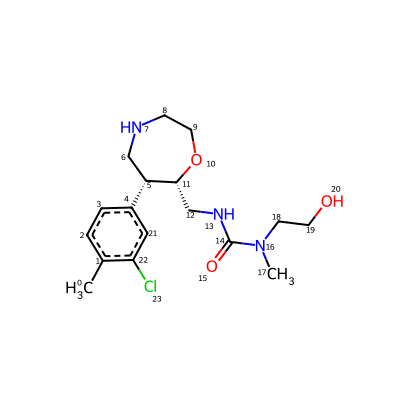 Cc1ccc([C@@H]2CNCCO[C@@H]2CNC(=O)N(C)CCO)cc1Cl